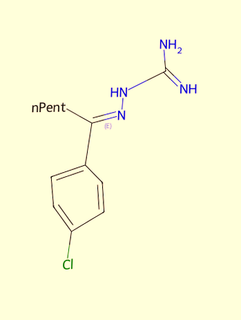 CCCCC/C(=N\NC(=N)N)c1ccc(Cl)cc1